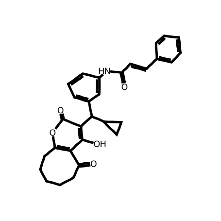 O=C(C=Cc1ccccc1)Nc1cccc(C(c2c(O)c3c(oc2=O)CCCCCC3=O)C2CC2)c1